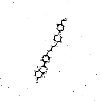 O=Cc1ccc(N2CCN(CCCOc3ccc(C(=O)NC4CCC(=O)NC4=O)nc3)CC2)nc1